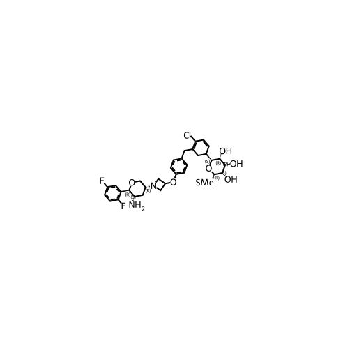 CS[C@H]1O[C@@H](C2C=CC(Cl)=C(Cc3ccc(OC4CN([C@H]5CO[C@H](c6cc(F)ccc6F)[C@@H](N)C5)C4)cc3)C2)[C@H](O)[C@@H](O)[C@@H]1O